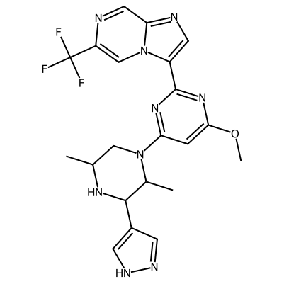 COc1cc(N2CC(C)NC(c3cn[nH]c3)C2C)nc(-c2cnc3cnc(C(F)(F)F)cn23)n1